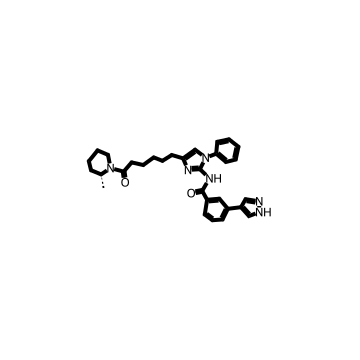 C[C@@H]1CCCCN1C(=O)CCCCCc1cn(-c2ccccc2)c(NC(=O)c2cccc(-c3cn[nH]c3)c2)n1